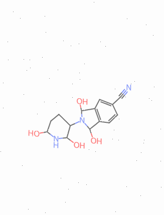 N#Cc1ccc2c(c1)C(O)N(C1CCC(O)NC1O)C2O